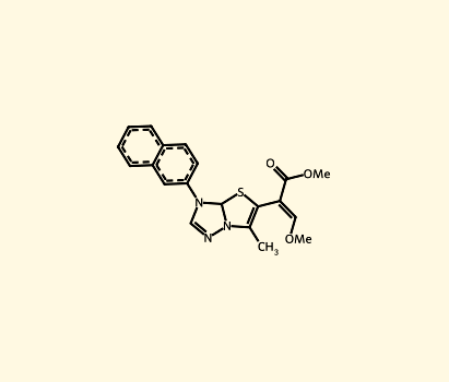 CO/C=C(/C(=O)OC)C1=C(C)N2N=CN(c3ccc4ccccc4c3)C2S1